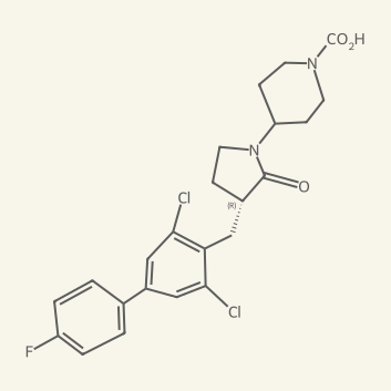 O=C(O)N1CCC(N2CC[C@@H](Cc3c(Cl)cc(-c4ccc(F)cc4)cc3Cl)C2=O)CC1